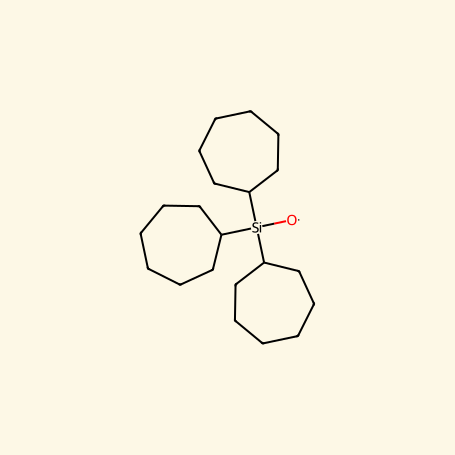 [O][Si](C1CCCCCC1)(C1CCCCCC1)C1CCCCCC1